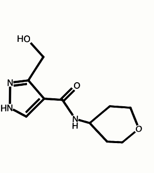 O=C(NC1CCOCC1)c1c[nH]nc1CO